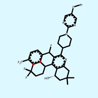 CC(C)Oc1cnc(N2CCC(c3nc4c(c(C5CCC(F)(F)CC5)c3C(F)c3ccc(C(F)(F)F)cc3)[C@@H](O)CC(C)(C)C4)CC2)nc1